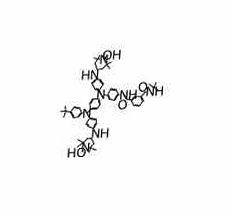 CC(C)(C)NC(=O)c1cccc(C(=O)Nc2ccc(N(c3ccc(NC4CC(C)(C)N(O)C(C)(C)C4)cc3)c3ccc(N(c4ccc(NC5CC(C)(C)N(O)C(C)(C)C5)cc4)c4ccc(C(C)(C)C)cc4)cc3)cc2)c1